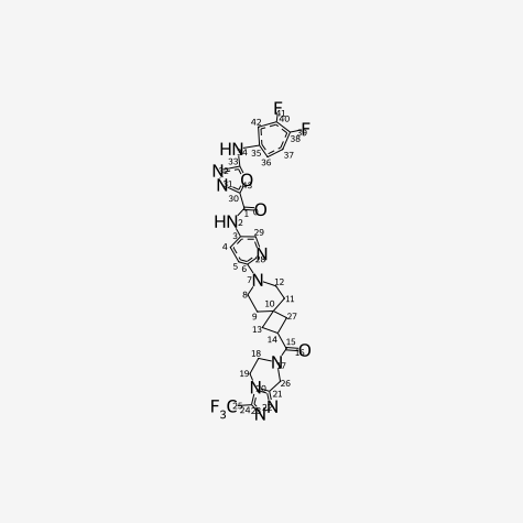 O=C(Nc1ccc(N2CCC3(CC2)CC(C(=O)N2CCn4c(nnc4C(F)(F)F)C2)C3)nc1)c1nnc(Nc2ccc(F)c(F)c2)o1